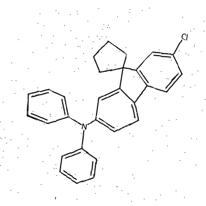 Clc1ccc2c(c1)C1(CCCC1)c1cc(N(c3ccccc3)c3ccccc3)ccc1-2